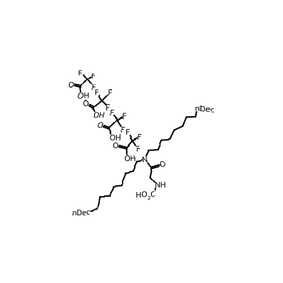 CCCCCCCCCCCCCCCCCCN(CCCCCCCCCCCCCCCCCC)C(=O)CNC(=O)O.O=C(O)C(F)(F)F.O=C(O)C(F)(F)F.O=C(O)C(F)(F)F.O=C(O)C(F)(F)F